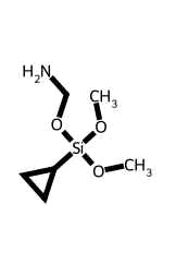 CO[Si](OC)(OCN)C1CC1